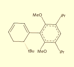 COc1c(C(C)C)cc(C(C)C)c(OC)c1C1=CC=CC[C@H]1C(C)(C)C